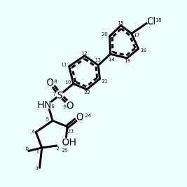 CC(C)(C)CC(NS(=O)(=O)c1ccc(-c2ccc(Cl)cc2)cc1)C(=O)O